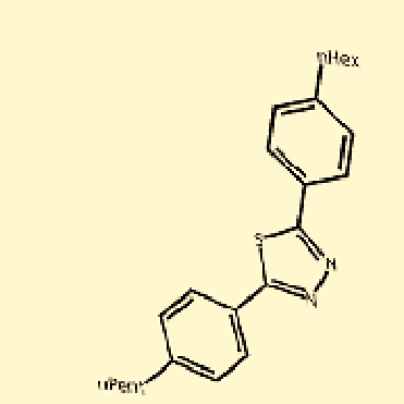 CCCCCCc1ccc(-c2nnc(-c3ccc(CCCCC)cc3)s2)cc1